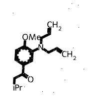 C=CCN(CC=C)c1cc(C(=O)CC(C)C)ccc1OC